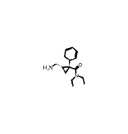 CCN(CC)C(=O)[C@]1(C2C=CC=CC2)C[C@@H]1CN